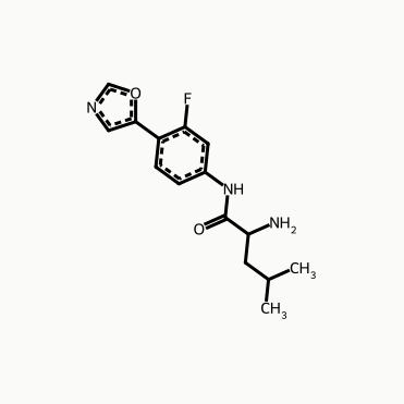 CC(C)CC(N)C(=O)Nc1ccc(-c2cnco2)c(F)c1